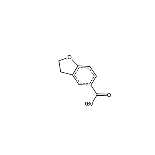 CC(C)(C)C(=O)c1ccc2c(c1)CCO2